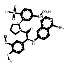 CCOc1cc([C@H](Nc2ccc3c(N)nccc3c2)C(=O)N2CCC[C@H]2c2cc(NC(=O)O)ccc2S(=O)(=O)C(C)C)ccc1OC(C)C